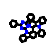 c1ccc(-c2nc(-c3ccccc3)nc(-n3c4ccccc4c4cccc(-c5nccc6c7ccccc7n(-c7ccccc7)c56)c43)n2)cc1